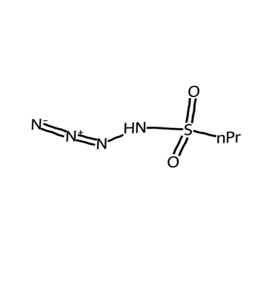 CCCS(=O)(=O)NN=[N+]=[N-]